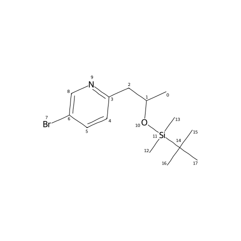 CC(Cc1ccc(Br)cn1)O[Si](C)(C)C(C)(C)C